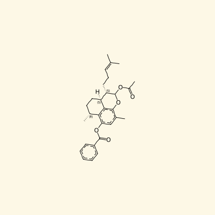 CC(=O)OC1Oc2c(C)cc(OC(=O)c3ccccc3)c3c2[C@@H](CC[C@H]3C)[C@@H]1CCC=C(C)C